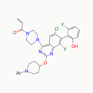 C=CC(=O)N1CCN(c2nc(OC3CCN(C(C)=O)CC3)nc3c(F)c(-c4c(O)cccc4F)c(Cl)cc23)CC1